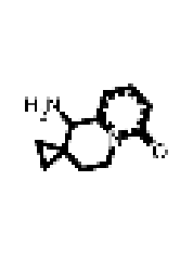 NC1c2cccc(=O)n2CCC12CC2